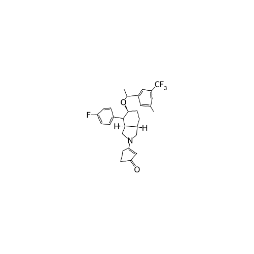 Cc1cc(C(C)O[C@H]2CC[C@@H]3CN(C4=CC(=O)CC4)C[C@H]3C2c2ccc(F)cc2)cc(C(F)(F)F)c1